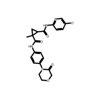 CC1(C(=O)Nc2ccc(N3CCOCC3=O)cc2)CC1C(=O)Nc1ccc(Cl)cn1